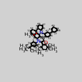 Cc1cc2c3c(c1)N(c1ccc(C(C)(C)C)cc1)c1c(oc4c1C(C)(C)CCC4(C)C)B3c1ccc(-c3ccccc3)cc1N2c1ccccc1-c1ccccc1